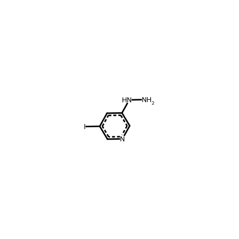 NNc1cncc(I)c1